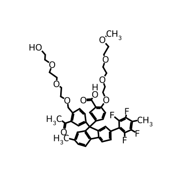 COCCOCCOCCOc1ccc(C2(c3ccc(COCCOCCOCCO)c(C(C)=O)c3)c3cc(C)ccc3-c3ccc(-c4c(F)c(F)c(C)c(F)c4F)cc32)cc1C(=O)O